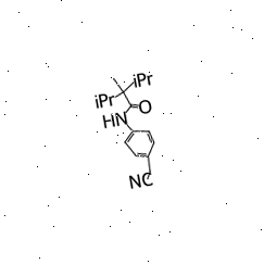 CC(C)C(C)(C(=O)Nc1ccc(CC#N)cc1)C(C)C